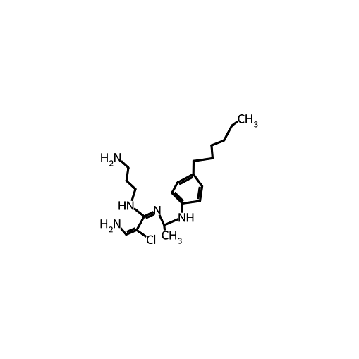 CCCCCCc1ccc(NC(C)/N=C(NCCCN)\C(Cl)=C/N)cc1